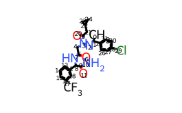 C/C(=N\N(CC(=O)NC(C(N)=O)c1cccc(C(F)(F)F)c1)C(=O)CC1CC1)c1ccc(Cl)cc1